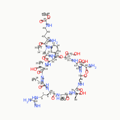 CC[C@H](C)C1NC(=O)[C@@H](CCCNC(=N)N)NC(=O)[C@H](CC(C)C)NC(=O)[C@H]([C@H](O)C(C)C)NC(=O)[C@@H](NC(=O)[C@H](CC(C)C)NC(=O)[C@H](N)CCCNC(=O)OC(C)(C)C)[C@@H](c2ccccc2)OC(=O)[C@H](CO)NC(=O)[C@H]([C@H](O)C(N)=O)NC(=O)CNC(=O)C([C@H](C)O)NC1=O